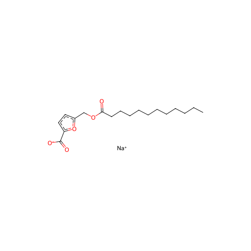 CCCCCCCCCCCC(=O)OCc1ccc(C(=O)[O-])o1.[Na+]